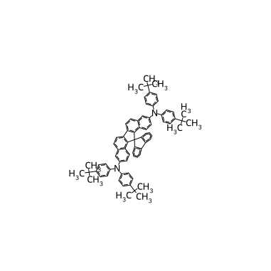 CC(C)(C)c1ccc(N(c2ccc(C(C)(C)C)cc2)c2ccc3c4c(ccc3c2)-c2ccc3cc(N(c5ccc(C(C)(C)C)cc5)c5ccc(C(C)(C)C)cc5)ccc3c2C42c3ccccc3-c3ccccc32)cc1